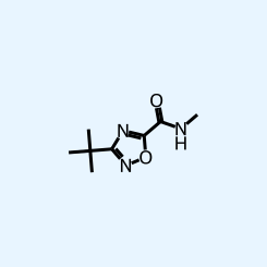 CNC(=O)c1nc(C(C)(C)C)no1